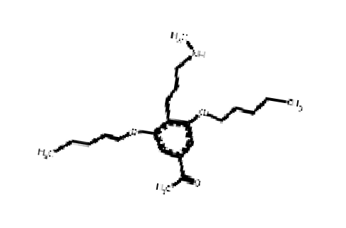 CCCCCOc1cc(C(C)=O)cc(OCCCCC)c1CCCNC